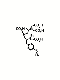 CCN(CC(=O)O)C(Cc1ccc(SC#N)cc1)CN(CC(=O)O)CC(C)N(CC(=O)O)CC(=O)O